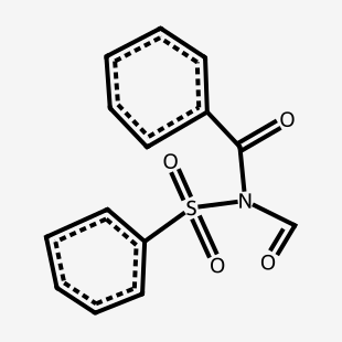 O=CN(C(=O)c1ccccc1)S(=O)(=O)c1ccccc1